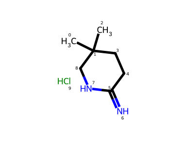 CC1(C)CCC(=N)NC1.Cl